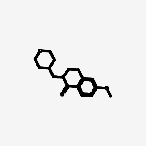 COc1ccc2c(c1)CCN(CC1CCOCC1)C2=O